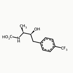 C[C@H](NC(=O)O)[C@@H](O)Cc1ccc(C(F)(F)F)cc1